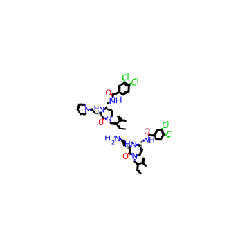 C=C(C)C(CC)CN1CC[C@@H](CNC(=O)c2ccc(Cl)c(Cl)c2)N[C@@H](CCN)C1=O.C=C(C)C(CC)CN1CC[C@@H](CNC(=O)c2ccc(Cl)c(Cl)c2)N[C@@H](CCN2CCCCC2)C1=O